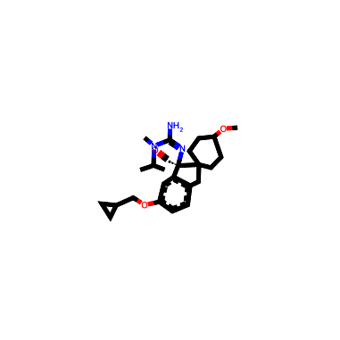 COC1CCC2(CC1)Cc1ccc(OCC3CC3)cc1[C@@]2(C=O)/N=C(/N)N(C)C(C)C